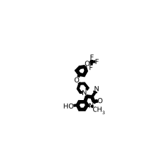 Cn1c(=O)c(C#N)c(N2CCC(Oc3ccc(OC(F)(F)F)cc3)CC2)c2cc(O)ccc21